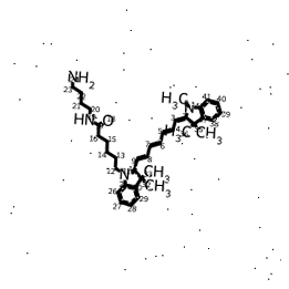 CN1/C(=C/C=C/C=C/C=C/C2=[N+](CCCCCC(=O)NCCCCN)c3ccccc3C2(C)C)C(C)(C)c2ccccc21